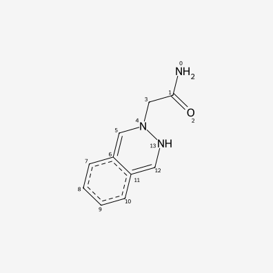 NC(=O)CN1C=c2ccccc2=CN1